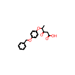 CC(Oc1ccc(OCc2ccccc2)cc1)C(=O)CC(=O)O